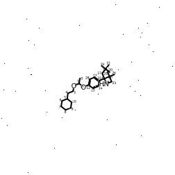 CC(OCCC1CCCCC1)Oc1ccc(C2(CC(C)(C)C)NCC2(C)C)cc1